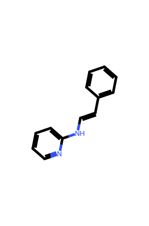 C(=C\c1ccccc1)/Nc1ccccn1